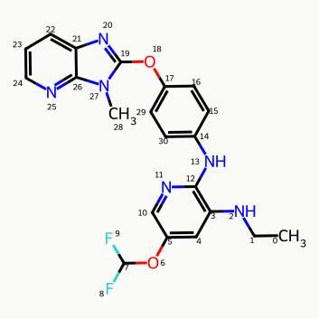 CCNc1cc(OC(F)F)cnc1Nc1ccc(Oc2nc3cccnc3n2C)cc1